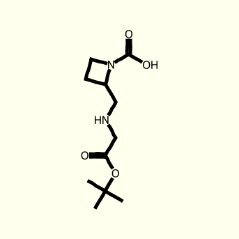 CC(C)(C)OC(=O)CNCC1CCN1C(=O)O